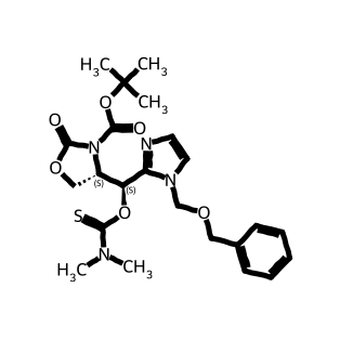 CN(C)C(=S)O[C@H](c1nccn1COCc1ccccc1)[C@@H]1COC(=O)N1C(=O)OC(C)(C)C